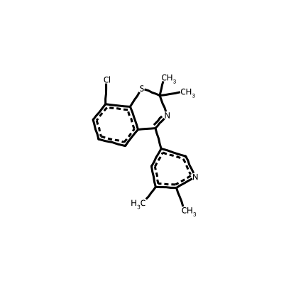 Cc1cc(C2=NC(C)(C)Sc3c(Cl)cccc32)cnc1C